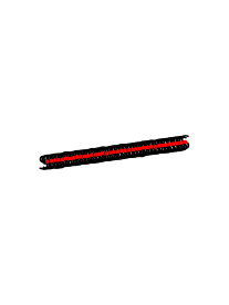 S=S=S=S=S=S=S=S=S=S=S=S=S=S=S=S=S=S=S=S=S=S=S=S=S=S=S=S=S=S=S=S=S=S=S=S=S=S=S=S=S=S=S=S=S=S=S=S=S=S=S=S=S=S=S=S=S=S=S=S=S=S=S=S=S=S=S=S=S=S=S=S=S=S=S=S=S